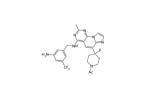 CC(=O)N1CCC(F)(c2cc3c(NCc4cc(N)cc(C(F)(F)F)c4)nc(C)nc3n3ccnc23)CC1